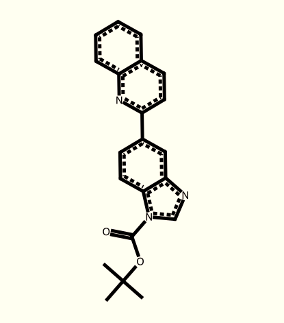 CC(C)(C)OC(=O)n1cnc2cc(-c3ccc4ccccc4n3)ccc21